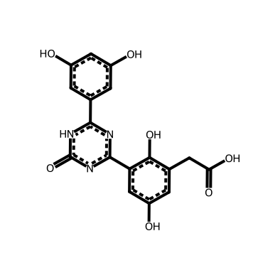 O=C(O)Cc1cc(O)cc(-c2nc(-c3cc(O)cc(O)c3)[nH]c(=O)n2)c1O